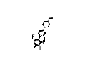 CC[C@H]1CC[C@H](c2ccc(-c3c(F)cc(C)c(F)c3F)c(F)c2)CC1